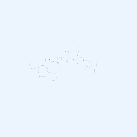 O=C(Nc1c2c(cc3c1CCC3)CCC2)NS(=O)(=O)C1CN(CC(F)(F)F)C1=O